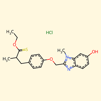 CCOC(=S)C(C)Cc1ccc(OCc2nc3ccc(O)cc3n2C)cc1.Cl